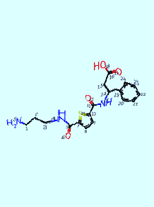 NCCCNC(=O)c1ccc(C(=O)NC(CC(=O)O)c2ccccc2)s1